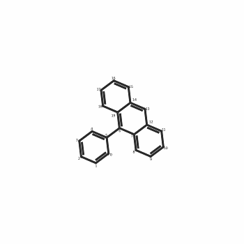 [c]1ccccc1-c1c2ccccc2cc2ccccc12